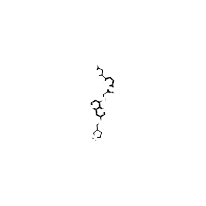 CC1=NSC(c2ccc3nnc(CNc4ccnc5cc(OCC6CCS(=O)(=O)C6)cnc45)n3n2)C1